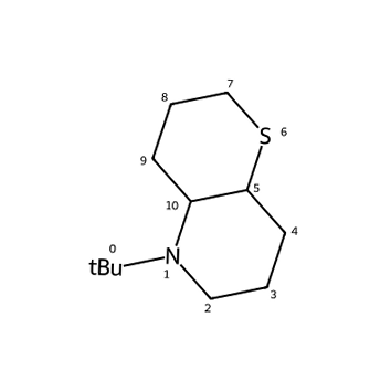 CC(C)(C)N1CCCC2SCCCC21